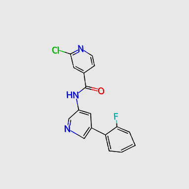 O=C(Nc1cncc(-c2ccccc2F)c1)c1ccnc(Cl)c1